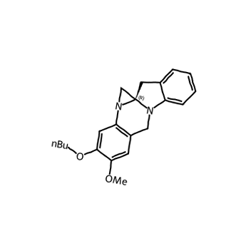 CCCCOc1cc2c(cc1OC)CN1c3ccccc3C[C@@]13CN23